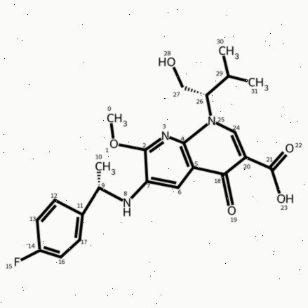 COc1nc2c(cc1N[C@@H](C)c1ccc(F)cc1)c(=O)c(C(=O)O)cn2[C@H](CO)C(C)C